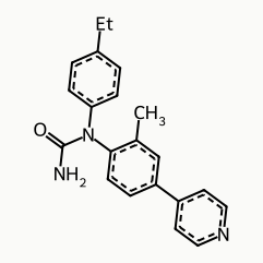 CCc1ccc(N(C(N)=O)c2ccc(-c3ccncc3)cc2C)cc1